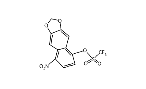 O=[N+]([O-])c1ccc(OS(=O)(=O)C(F)(F)F)c2cc3c(cc12)OCO3